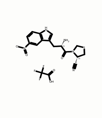 N#C[C@H]1CSCN1C(=O)[C@@H](N)Cc1c[nH]c2ccc([N+](=O)[O-])cc12.O=C(O)C(F)(F)F